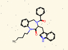 N#CCCCCN1C(=O)C(Cc2c[nH]c3ccccc23)N(C(=O)c2ccccc2)Cc2ccccc21